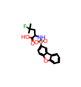 CC(C)(F)CC(NS(=O)(=O)c1ccc2oc3ccccc3c2c1)C(=O)O